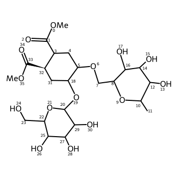 COC(=O)C1CC(OCC2OC(C)C(O)C(O)C2O)C(OC2OC(CO)C(O)C(O)C2O)C[C@H]1C(=O)OC